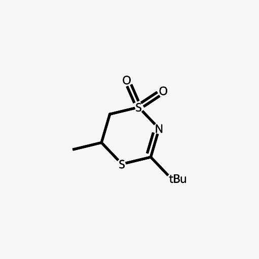 CC1CS(=O)(=O)N=C(C(C)(C)C)S1